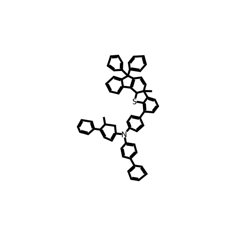 CC1CC(N(c2ccc(-c3ccccc3)cc2)c2ccc(-c3cccc4c3SC3C5=C(C=CC43C)C(c3ccccc3)(c3ccccc3)c3ccccc35)cc2)=CC=C1c1ccccc1